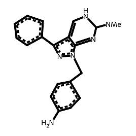 CNC1N=c2c(c(-c3ccccc3)nn2Cc2ccc(N)cc2)=CN1